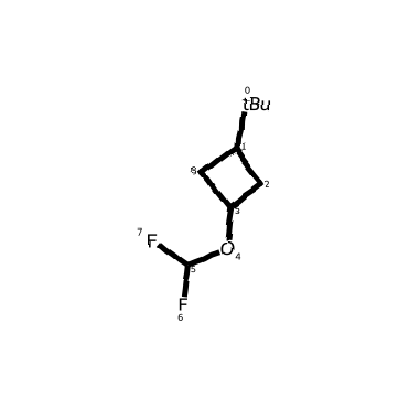 CC(C)(C)C1CC(OC(F)F)C1